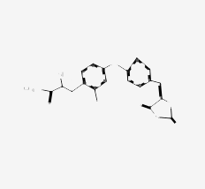 COC(=O)C(N)Cc1ccc(Oc2ccc(C=C3SC(=O)NC3=O)cc2)cc1F